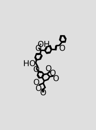 O=C1CC(C2CC3C(=O)OC(=O)C3c3cc(OCC(O)c4ccc(C(OO)c5ccc(/C=C/C(=O)c6ccccc6)cc5)cc4)ccc32)C(=O)O1